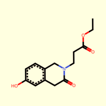 CCOC(=O)CCN1Cc2ccc(O)cc2CC1=O